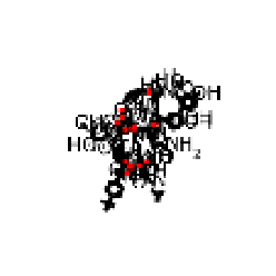 CN[C@@H](CC(C)C)C(=O)N[C@H]1C(=O)N[C@@H](CC(N)=O)C(=O)NC2C(=O)N[C@@H]3C(=O)N[C@@H](C(=O)N[C@@H](C(=O)O)c4cc(O)cc(O)c4-c4cc3ccc4O)[C@H](O)c3ccc(c(Cl)c3)Oc3cc2cc(c3OC2O[C@@H](CO)[C@@H](O)[C@@H](O)[C@H]2O[C@H]2CC(C)(NCCn3ccc(NC(=O)C4CCC(C(C)(C)C)CC4)nc3=O)[C@@H](O)C(C)O2)Oc2ccc(cc2Cl)[C@H]1O